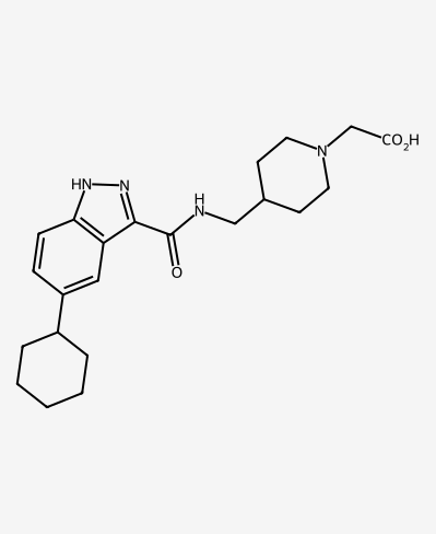 O=C(O)CN1CCC(CNC(=O)c2n[nH]c3ccc(C4CCCCC4)cc23)CC1